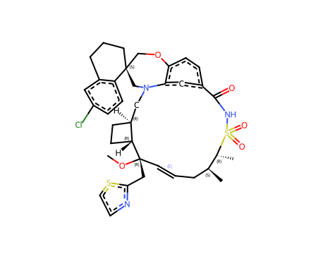 CO[C@@]1(Cc2nccs2)/C=C/C[C@H](C)[C@@H](C)S(=O)(=O)NC(=O)c2ccc3c(c2)N(C[C@@H]2CC[C@H]21)C[C@@]1(CCCc2cc(Cl)ccc21)CO3